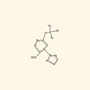 [2H]C([2H])([2H])Oc1cc(-n2nccn2)c(C=O)cn1